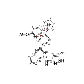 COc1ccc(CN2C3CC2CN(c2ccc(-c4nc(Nc5cc(C)[nH]n5)c5occc5n4)cn2)C3)cn1